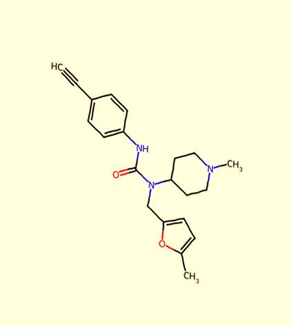 C#Cc1ccc(NC(=O)N(Cc2ccc(C)o2)C2CCN(C)CC2)cc1